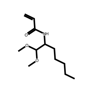 C=CC(=O)NC(CCCCC)C(OC)OC